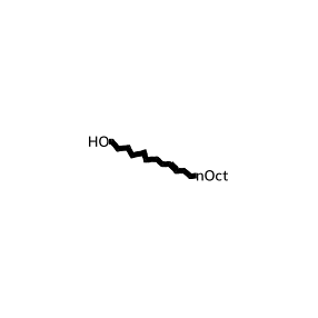 CCCCCCCCCCC=CCCCCCCCCO